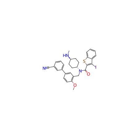 CN[C@H]1CC[C@H](N(Cc2cc(-c3cccc(C#N)c3)ccc2OC)C(=O)c2sc3ccccc3c2I)CC1